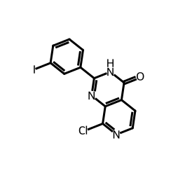 O=c1[nH]c(-c2cccc(I)c2)nc2c(Cl)nccc12